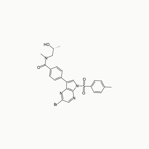 Cc1ccc(S(=O)(=O)n2cc(-c3ccc(C(=O)N(C)C[C@@H](C)O)cc3)c3nc(Br)cnc32)cc1